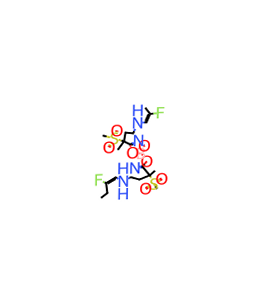 CC/C(F)=C\NCCC(C)(C(=N)OB1ON=C(C(C)(CCN/C=C(\C)F)S(C)(=O)=O)O1)S(C)(=O)=O